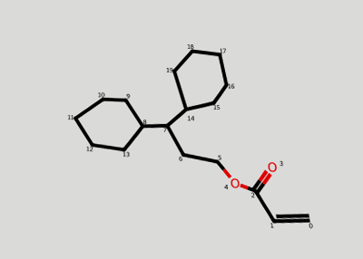 C=CC(=O)OCCC(C1CCCCC1)C1CCCCC1